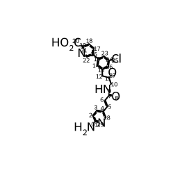 Nc1ccc(C=CC(=O)NCC2Cc3cc(-c4ccc(C(=O)O)nc4)cc(Cl)c3O2)cn1